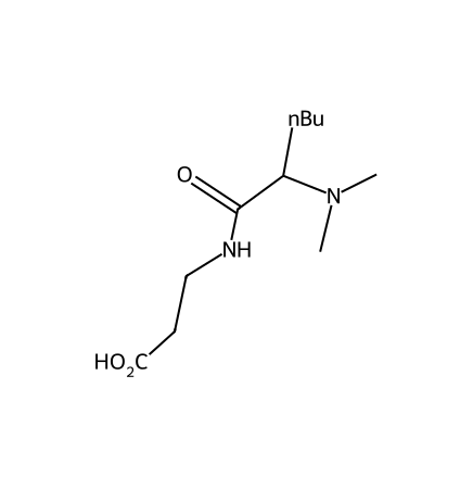 CCCCC(C(=O)NCCC(=O)O)N(C)C